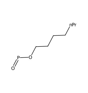 CCCCCCCOP=O